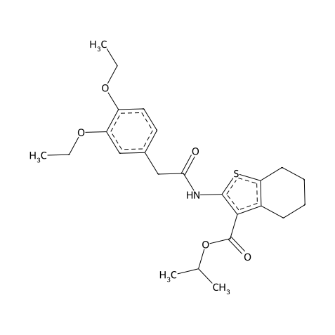 CCOc1ccc(CC(=O)Nc2sc3c(c2C(=O)OC(C)C)CCCC3)cc1OCC